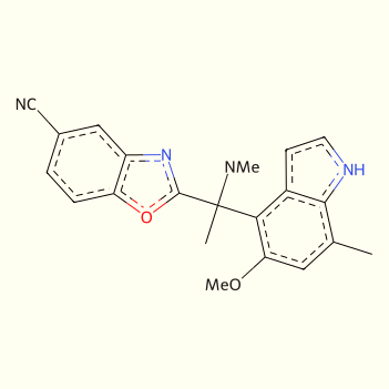 CNC(C)(c1nc2cc(C#N)ccc2o1)c1c(OC)cc(C)c2[nH]ccc12